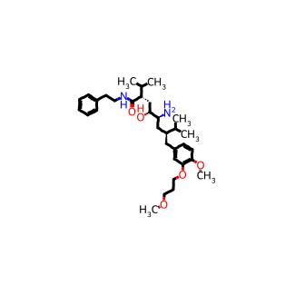 COCCCOc1cc(C[C@@H](C[C@H](N)[C@@H](O)C[C@H](C(=O)NCCc2ccccc2)C(C)C)C(C)C)ccc1OC